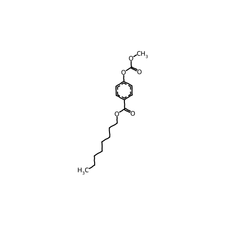 CCCCCCCCOC(=O)c1ccc(OC(=O)OC)cc1